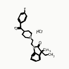 CCC1(C)C(=O)N(CCN2CCC(C(=O)c3ccc(F)cc3)CC2)c2ccccc21.Cl